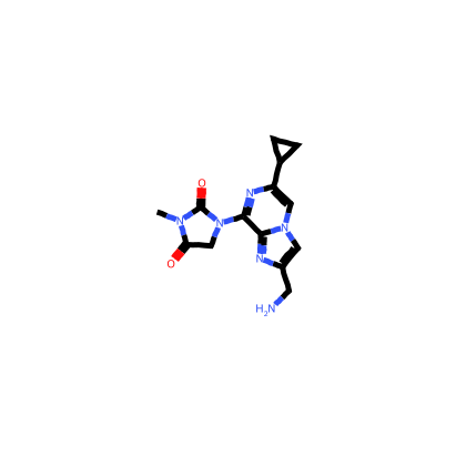 CN1C(=O)CN(c2nc(C3CC3)cn3cc(CN)nc23)C1=O